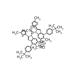 Cc1ccc(C2=Cc3c(cc(C)c(C)c3-c3ccc(C(C)(C)C)cc3)[CH]2[Zr]([CH]2C(c3ccc(C)s3)=Cc3c2cc(C)c(C)c3-c2ccc(C(C)(C)C)cc2)=[Si](C)C)s1.Cl.Cl